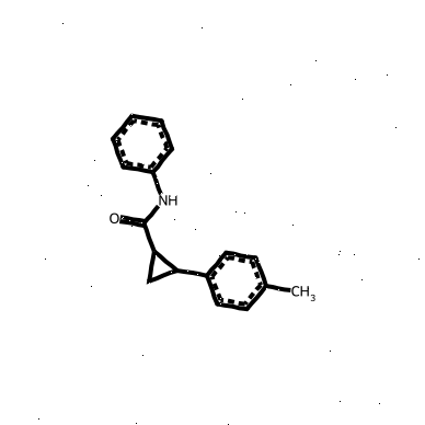 Cc1ccc(C2CC2C(=O)Nc2ccccc2)cc1